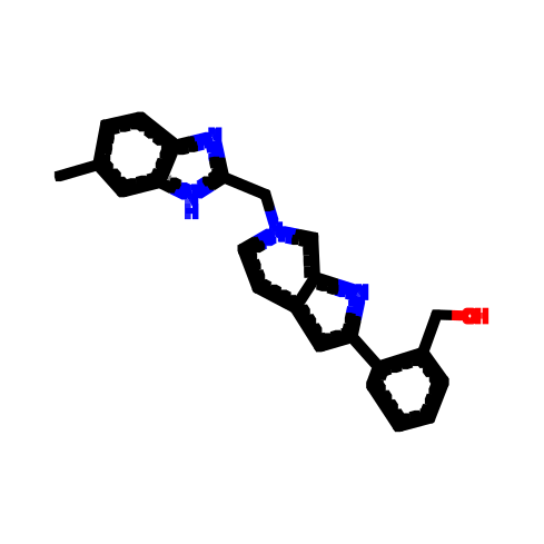 Cc1ccc2nc(Cn3ccc4cc(-c5ccccc5CO)nc-4c3)[nH]c2c1